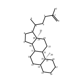 C=C(C)CCC(C)C1CCC2C3CCC4CCCC[C@]4(C)C3CC[C@]12C